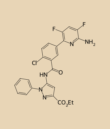 CCOC(=O)c1cc(NC(=O)c2cc(-c3nc(N)c(F)cc3F)ccc2Cl)n(-c2ccccc2)n1